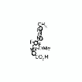 COCCn1c(Cc2cc(F)c(-c3cccc(OCc4ccc(C)cn4)n3)cc2F)nc2ccc(C(=O)O)cc21